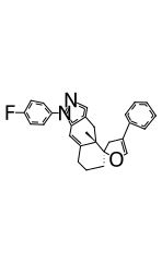 C[C@]12Cc3cnn(-c4ccc(F)cc4)c3C=C1CCC[C@@]21CC(c2ccccc2)=CO1